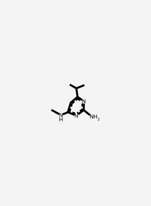 CNc1cc(C(C)C)nc(N)n1